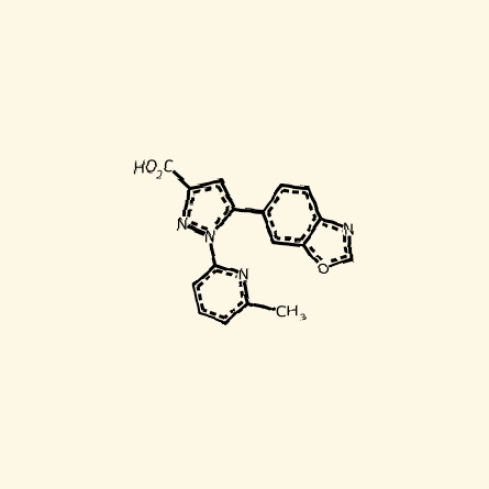 Cc1cccc(-n2nc(C(=O)O)cc2-c2ccc3ncoc3c2)n1